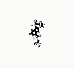 COC(=O)CNC(=O)c1cccc2c1Cc1c-2[nH]c(=O)c2nccn12